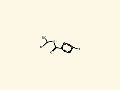 N#CC(Br)NC(=O)c1ccc(Cl)cc1